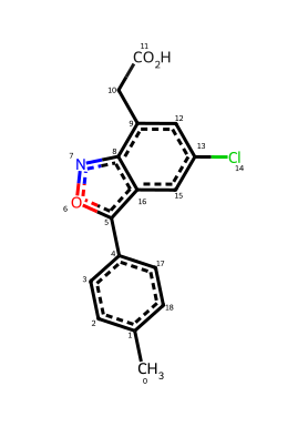 Cc1ccc(-c2onc3c(CC(=O)O)cc(Cl)cc23)cc1